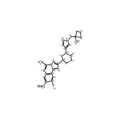 COc1cc2nc(N)n3nc(C4CCC(C)N(c5cnn(CC6(O)CCC6)c5)C4)nc3c2cc1F